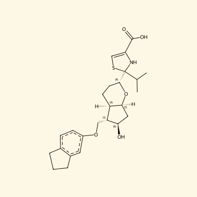 CC(C)C1([C@H]2CC[C@@H]3[C@@H](COc4ccc5c(c4)CCC5)[C@H](O)C[C@@H]3O2)NC(C(=O)O)=CS1